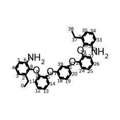 CCc1cccc(N)c1Oc1ccccc1Oc1cccc(Oc2ccccc2Oc2c(N)cccc2CC)c1